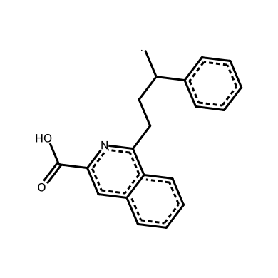 [CH2]C(CCc1nc(C(=O)O)cc2ccccc12)c1ccccc1